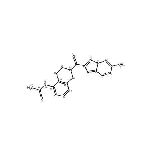 Bc1ccc2cc(C(=O)N3CCc4c(cccc4NC(C)=O)C3)nn2c1